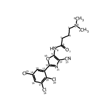 CN(C)CCCC(=O)Nc1oc(-c2cc(Cl)cc(Cl)c2Cl)nc1C#N